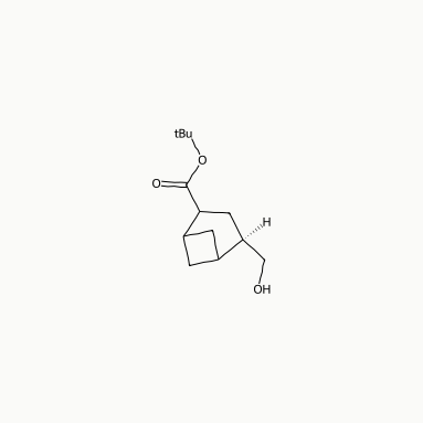 CC(C)(C)OC(=O)C1C[C@@H](CO)C2CC1C2